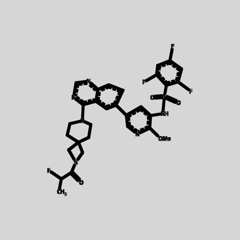 COc1ncc(-c2ccc3ncnc(N4CCC5(CC4)CN(C(=O)C(C)F)C5)c3c2)cc1NS(=O)(=O)c1c(F)cc(F)cc1F